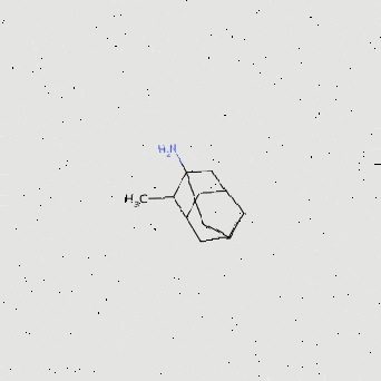 CC1C2CC3CC(C2)CC1(N)C3